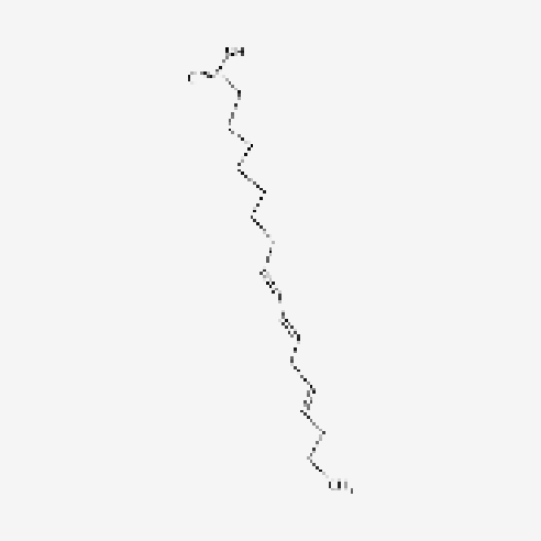 CCCC=CCC=CC=CCCCCCCCC(=O)O